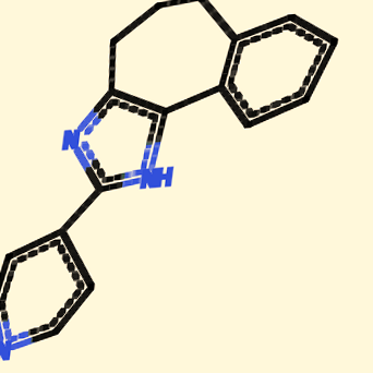 c1ccc2c(c1)CCCc1nc(-c3ccncc3)[nH]c1-2